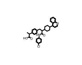 CC(C(=O)O)c1ccc(CC(C(=O)Nc2ccc(Cl)cc2)C2CCC(c3ccnc4ccccc34)CC2)cc1